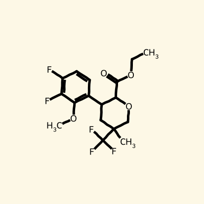 CCOC(=O)C1OCC(C)(C(F)(F)F)CC1c1ccc(F)c(F)c1OC